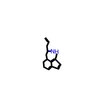 C=CCC1CC2CCC=C3C=CC(=C32)CN1